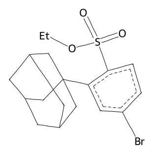 CCOS(=O)(=O)c1ccc(Br)cc1C12CC3CC(CC(C3)C1)C2